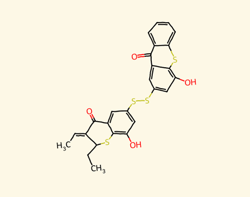 C/C=C1/C(=O)c2cc(SSc3cc(O)c4sc5ccccc5c(=O)c4c3)cc(O)c2SC1CC